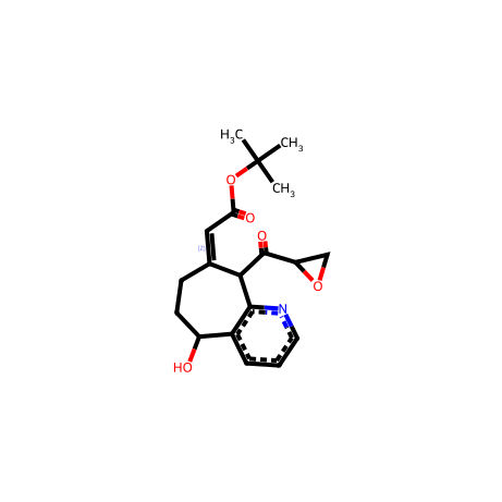 CC(C)(C)OC(=O)/C=C1/CCC(O)c2cccnc2C1C(=O)C1CO1